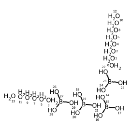 O.O.O.O.O.O.O.O.O.O.O.O.O.O.OB(O)O.OB(O)O.OB(O)O.OB(O)O